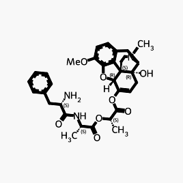 COc1ccc2c3c1O[C@H]1C(OC(=O)[C@H](C)OC(=O)[C@H](C)NC(=O)[C@@H](N)Cc4ccccc4)=CC[C@]4(O)C(C2)N(C)CC[C@]314